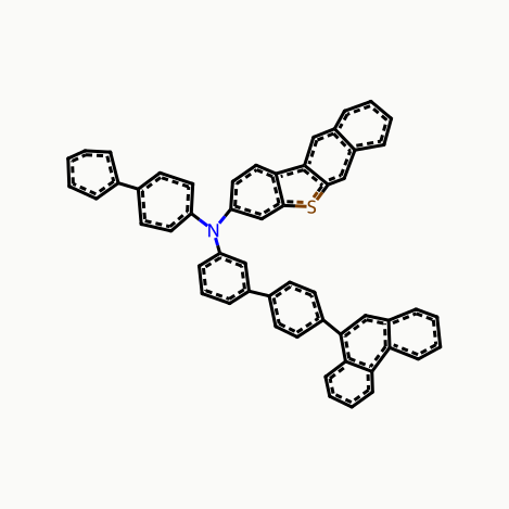 c1ccc(-c2ccc(N(c3cccc(-c4ccc(-c5cc6ccccc6c6ccccc56)cc4)c3)c3ccc4c(c3)sc3cc5ccccc5cc34)cc2)cc1